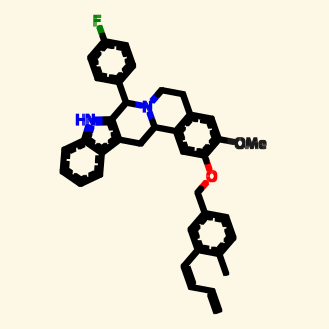 C=C/C=C\c1cc(COc2cc3c(cc2OC)CCN2C3Cc3c([nH]c4ccccc34)C2c2ccc(F)cc2)ccc1C